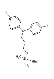 CC(C)(C)[Si](C)(C)OCCCN(c1ccc(F)cc1)c1ccc(F)cc1